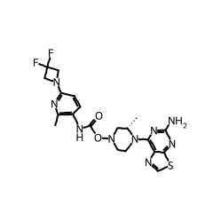 Cc1nc(N2CC(F)(F)C2)ccc1NC(=O)ON1CCN(c2nc(N)nc3scnc23)[C@@H](C)C1